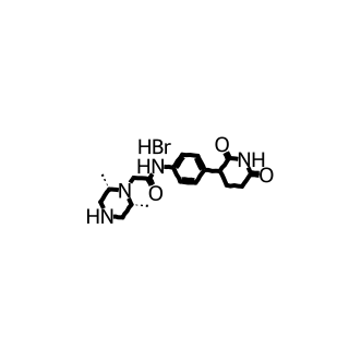 Br.C[C@@H]1CNC[C@H](C)N1CC(=O)Nc1ccc(C2CCC(=O)NC2=O)cc1